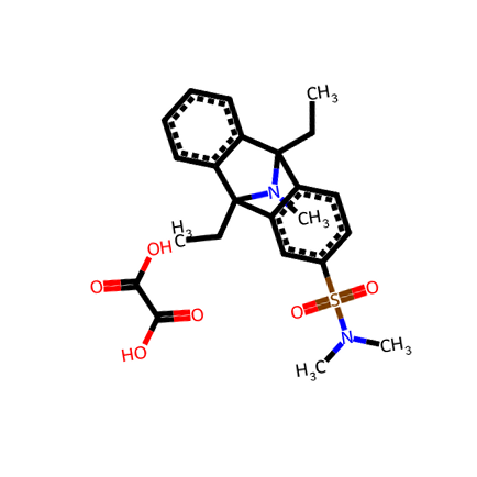 CCC12c3ccccc3C(CC)(c3cc(S(=O)(=O)N(C)C)ccc31)N2C.O=C(O)C(=O)O